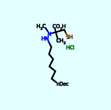 CCCCCCCCCCCCCCCCNN(C)C(C)(CS)C(=O)O.Cl